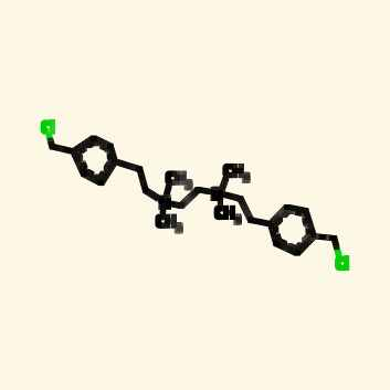 C[Si](C)(CCc1ccc(CCl)cc1)CC[Si](C)(C)CCc1ccc(CCl)cc1